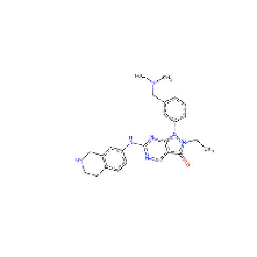 CCn1c(=O)c2cnc(Nc3ccc4c(c3)CNCC4)nc2n1-c1cccc(CN(C)C)c1